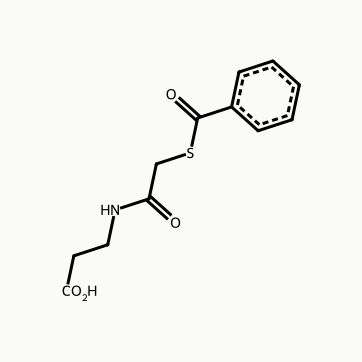 O=C(O)CCNC(=O)CSC(=O)c1ccccc1